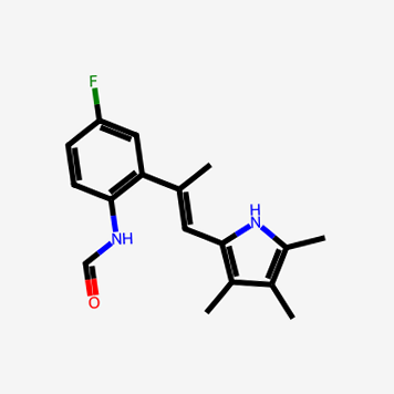 C/C(=C\c1[nH]c(C)c(C)c1C)c1cc(F)ccc1NC=O